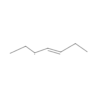 CC[CH]C=CCC